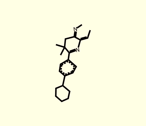 C/C=C1/N=C(c2ccc(C3CCCCC3)cc2)C(C)(C)C/C1=N/C